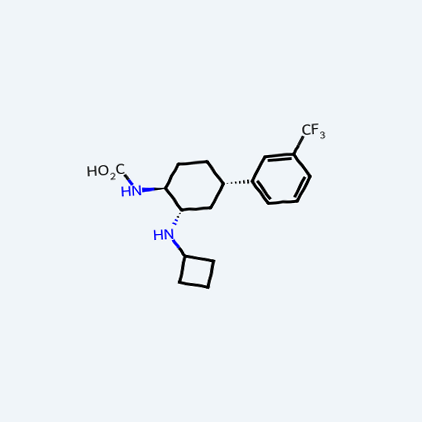 O=C(O)N[C@H]1CC[C@H](c2cccc(C(F)(F)F)c2)C[C@@H]1NC1CCC1